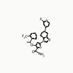 CC(Oc1cc(-n2cnc3cc(-c4ccnc(F)c4)ccc32)sc1C(N)=O)c1ccccc1C(F)(F)F